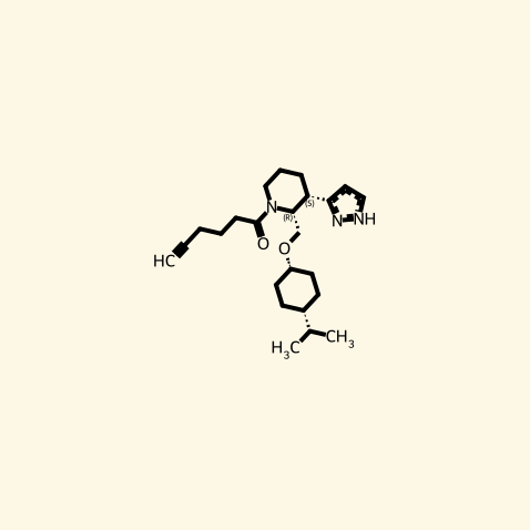 C#CCCCC(=O)N1CCC[C@H](c2cc[nH]n2)[C@@H]1CO[C@H]1CC[C@@H](C(C)C)CC1